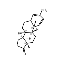 C[C@]12C=CC(N)=CC1CC[C@@H]1[C@H]2CC[C@]2(C)C(=O)CC[C@@H]12